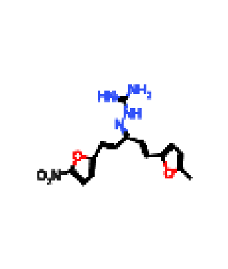 Cc1ccc(/C=C/C(/C=C/c2ccc([N+](=O)[O-])o2)=N\NC(=N)N)o1